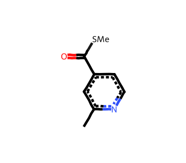 CSC(=O)c1ccnc(C)c1